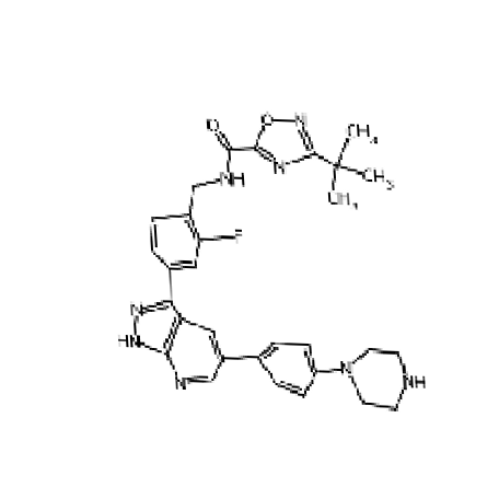 CC(C)(C)c1noc(C(=O)NCc2ccc(-c3n[nH]c4ncc(-c5ccc(N6CCNCC6)cc5)cc34)cc2F)n1